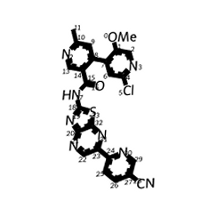 COc1cnc(Cl)cc1-c1cc(C)ncc1C(=O)Nc1nc2ncc(-c3ccc(C#N)cn3)nc2s1